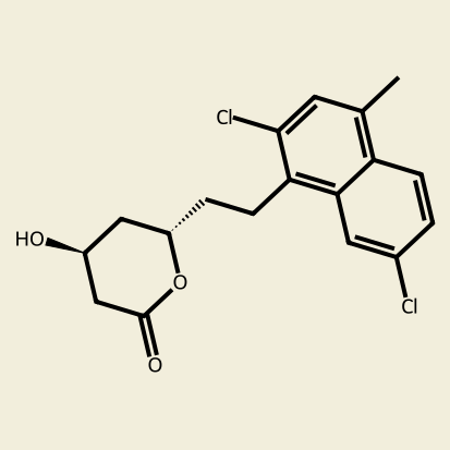 Cc1cc(Cl)c(CC[C@H]2C[C@H](O)CC(=O)O2)c2cc(Cl)ccc12